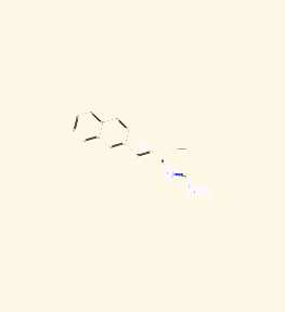 CC1(/C=C/c2ccc3ccccc3c2)CCSC(N)=N1